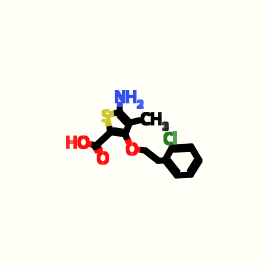 Cc1c(N)sc(C(=O)O)c1OCCc1ccccc1Cl